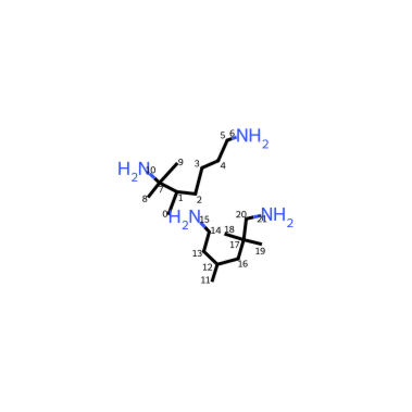 CC(CCCCN)C(C)(C)N.CC(CCN)CC(C)(C)CN